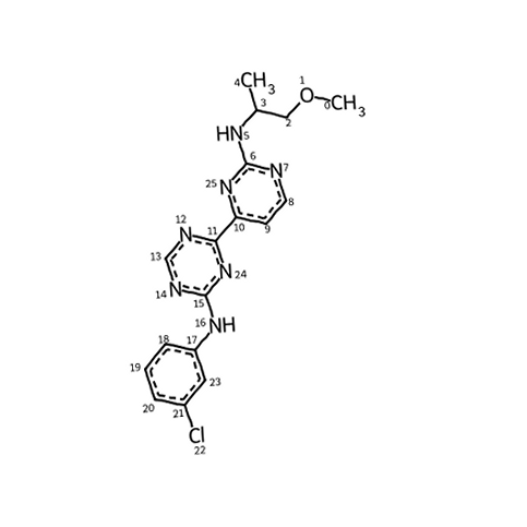 COCC(C)Nc1nccc(-c2ncnc(Nc3cccc(Cl)c3)n2)n1